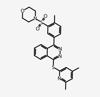 Cc1cc(C)nc(Sc2nnc(-c3ccc(C)c(S(=O)(=O)N4CCOCC4)c3)c3ccccc23)c1